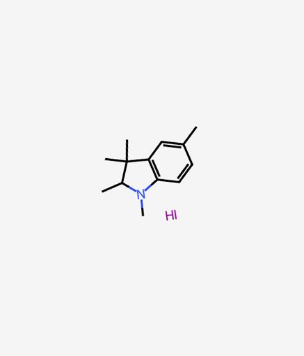 Cc1ccc2c(c1)C(C)(C)C(C)N2C.I